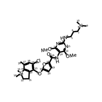 COc1nc(NCCCN(C)C)nc(OC)c1NC(=O)c1ccc(Oc2c(Cl)cc(C)c3c2CC[Si]3(C)C)o1